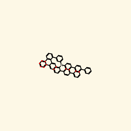 c1ccc(-c2ccc(-c3ccc(N(c4cccc(-c5cccc(-c6ccccc6)c5-c5ccccc5-c5ccccc5)c4)c4ccccc4-c4ccc(-c5ccccc5)cc4)cc3)cc2)cc1